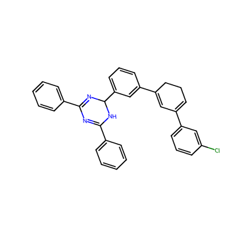 Clc1cccc(C2=CCCC(c3cccc(C4N=C(c5ccccc5)N=C(c5ccccc5)N4)c3)=C2)c1